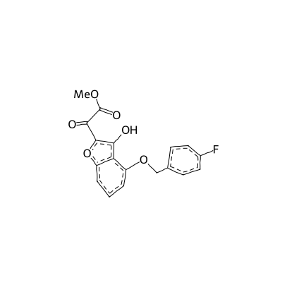 COC(=O)C(=O)c1oc2cccc(OCc3ccc(F)cc3)c2c1O